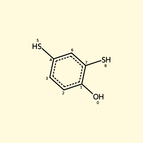 Oc1ccc(S)cc1S